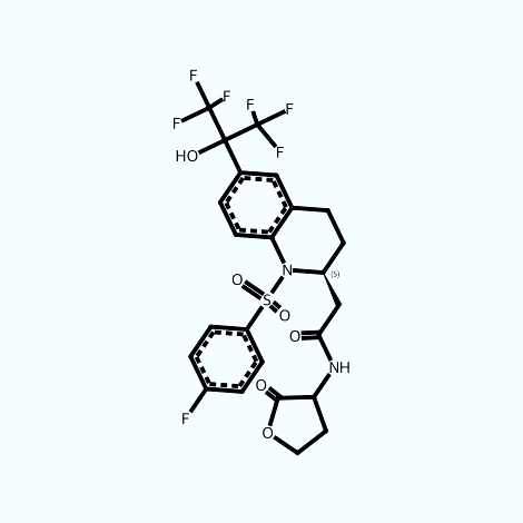 O=C(C[C@@H]1CCc2cc(C(O)(C(F)(F)F)C(F)(F)F)ccc2N1S(=O)(=O)c1ccc(F)cc1)NC1CCOC1=O